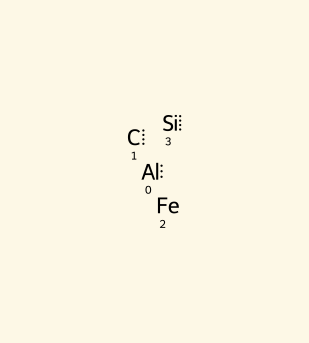 [Al].[C].[Fe].[Si]